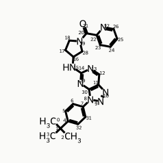 CC(C)(C)c1ccc(-n2nnc3cnc(NC4CCN(C(=O)c5ccccn5)C4)nc32)cc1